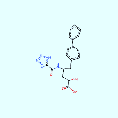 O=C(NC(Cc1ccc(-c2ccccc2)cc1)CC(O)C(=O)O)c1nnn[nH]1